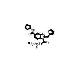 CCC(CC)n1c(Cc2cccs2)nc2cc(C(=O)NC3CCCC3)ccc21.O=C(O)O